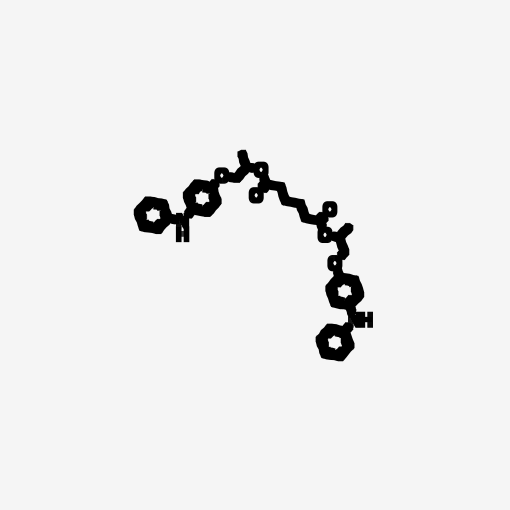 CC(COc1ccc(Nc2ccccc2)cc1)OC(=O)CCCCC(=O)OC(C)COc1ccc(Nc2ccccc2)cc1